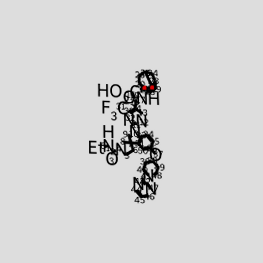 CCNC(=O)N1CCC2(C1)CN(c1ncc(C(=O)NC3(C(=O)O)C4CCC5CC(C4)CC3C5)c(C(F)(F)F)n1)c1ccc(OC3CCN(c4ncccn4)CC3)cc12